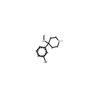 COC1(c2cccc(Br)c2)CCOCC1